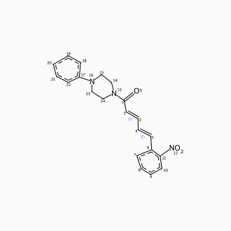 O=C(/C=C/C=C/c1ccccc1[N+](=O)[O-])N1CCN(c2ccccc2)CC1